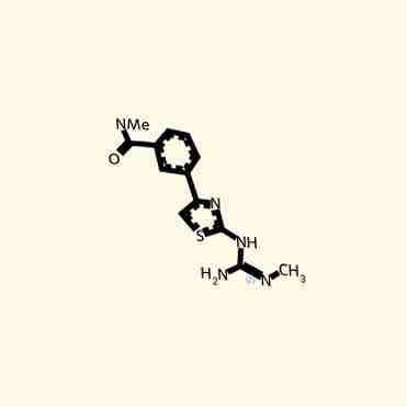 C/N=C(/N)Nc1nc(-c2cccc(C(=O)NC)c2)cs1